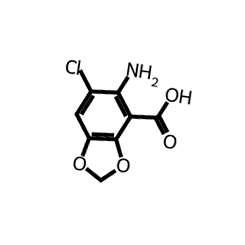 Nc1c(Cl)cc2c(c1C(=O)O)OCO2